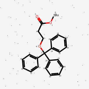 CC(C)(C)OC(=O)CCOC(c1ccccc1)(c1ccccc1)c1ccccc1